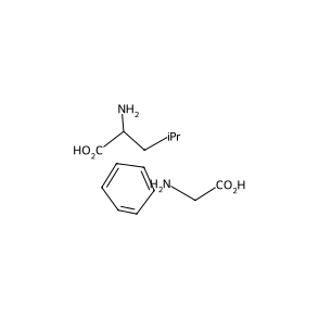 CC(C)CC(N)C(=O)O.NCC(=O)O.c1ccccc1